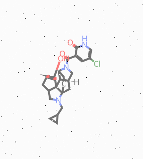 O=C(c1cc(Cl)c[nH]c1=O)N1C[C@H]2CC34CCC1C2C31c2cc(O)ccc2CC1CN4CC1CC1